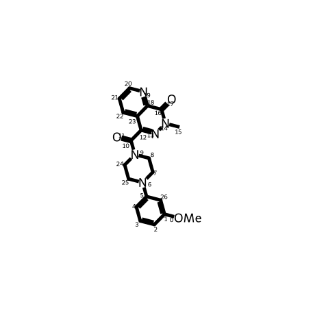 COc1cccc(N2CCN(C(=O)c3nn(C)c(=O)c4ncccc34)CC2)c1